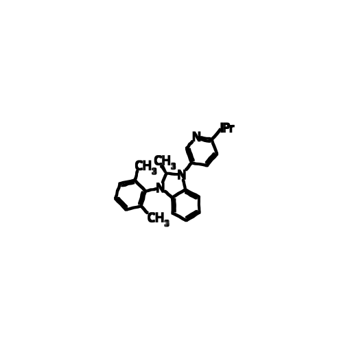 Cc1cccc(C)c1N1c2ccccc2N(c2ccc(C(C)C)nc2)[C@@H]1C